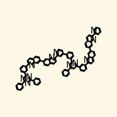 c1ccc(-c2cc(-c3cccc(-c4ccc5ccc(-c6ccc7ccc(-c8ccccn8)nc7c6)cc5n4)c3)nc(-c3cccc(-c4ccnc(-c5ccc6ccc(-c7ccc8ccc(-c9cccc(-c%10nc(-c%11ccccc%11)nc(-c%11ccccc%11)n%10)c9)nc8c7)cc6n5)c4)c3)n2)cc1